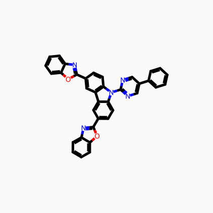 c1ccc(-c2cnc(-n3c4ccc(-c5nc6ccccc6o5)cc4c4cc(-c5nc6ccccc6o5)ccc43)nc2)cc1